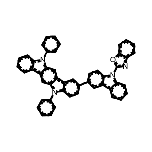 c1ccc(-n2c3ccccc3c3cc4c(cc32)c2cc(-c3ccc5c(c3)c3ccccc3n5-c3nc5ccccc5o3)ccc2n4-c2ccccc2)cc1